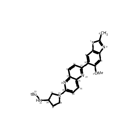 COc1cc2nc(C)sc2cc1-c1ccc2nc(N3CCC(NC(C)(C)C)C3)ccc2n1